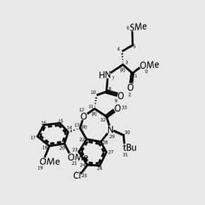 COC(=O)[C@@H](CCSC)NC(=O)C[C@H]1O[C@@H](c2cccc(OC)c2OC)c2cc(Cl)ccc2N(CC(C)(C)C)C1=O